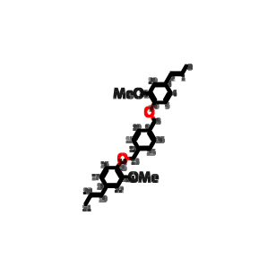 C/C=C/c1ccc(OCc2ccc(COc3ccc(/C=C/C)cc3OC)cc2)c(OC)c1